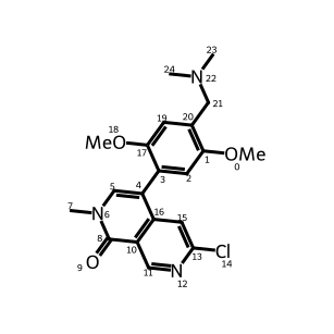 COc1cc(-c2cn(C)c(=O)c3cnc(Cl)cc23)c(OC)cc1CN(C)C